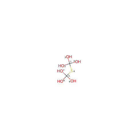 OC(O)(O)SC(O)(O)O